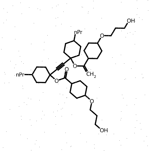 C=C(OC1(C#CC2(OC(=O)C3CCC(OCCCO)CC3)CCC(CCC)CC2)CCC(CCC)CC1)C1CCC(OCCCO)CC1